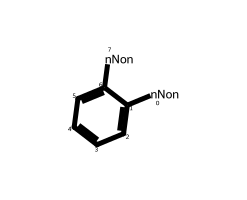 CCCCCCCCCc1c[c]ccc1CCCCCCCCC